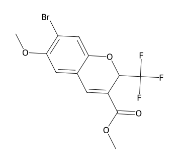 COC(=O)C1=Cc2cc(OC)c(Br)cc2OC1C(F)(F)F